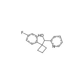 OC(c1ccccn1)C1(c2ccc(F)cc2)CCC1